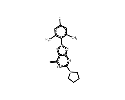 Cc1cc(Cl)cc(C)c1-n1nc2nc(N3CCCC3)[nH]c(=O)c2n1